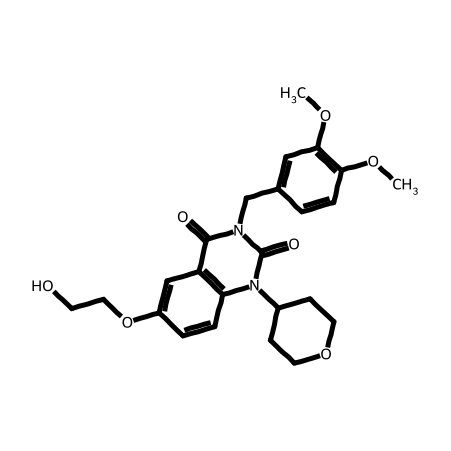 COc1ccc(Cn2c(=O)c3cc(OCCO)ccc3n(C3CCOCC3)c2=O)cc1OC